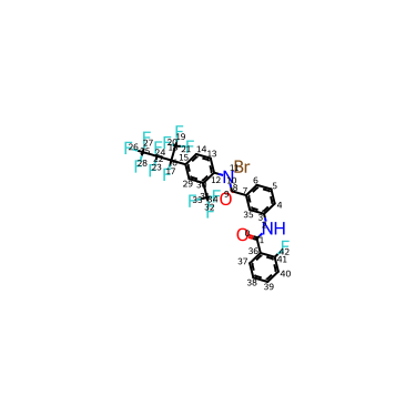 O=C(Nc1cccc(C(=O)N(Br)c2ccc(C(F)(C(F)(F)F)C(F)(F)C(F)(F)F)cc2C(F)(F)F)c1)c1ccccc1F